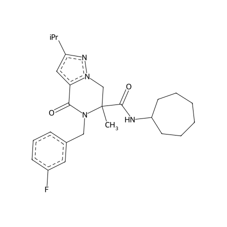 CC(C)c1cc2n(n1)CC(C)(C(=O)NC1CCCCCC1)N(Cc1cccc(F)c1)C2=O